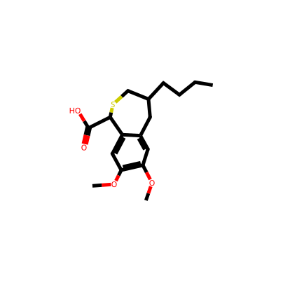 CCCCC1CSC(C(=O)O)c2cc(OC)c(OC)cc2C1